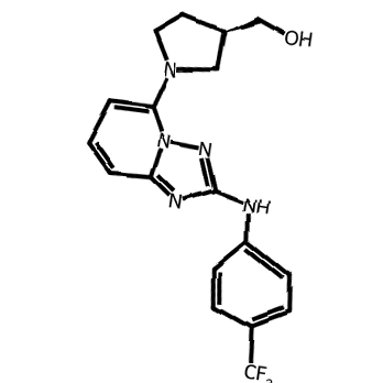 OC[C@@H]1CCN(c2cccc3nc(Nc4ccc(C(F)(F)F)cc4)nn23)C1